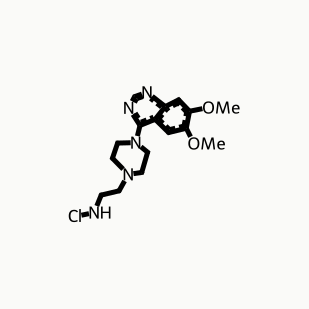 COc1cc2ncnc(N3CCN(CCNCl)CC3)c2cc1OC